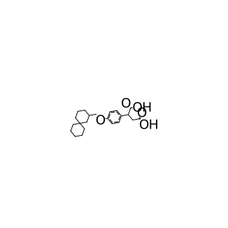 O=C(O)CC(C(=O)O)c1ccc(OCC2CCCC3(CCCCC3)C2)cc1